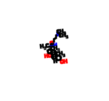 CC(NOCCCCN(C)C)[C@H]1CC[C@]2(O)[C@@H]3CC[C@@H]4C[C@@H](O)CC[C@]4(C)[C@H]3CC[C@]12C